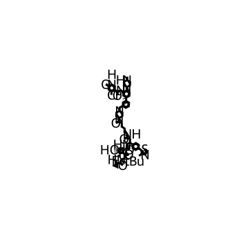 Cc1ncsc1-c1ccc(C(CC(=O)NCCCCC(=O)N2CCN(Cc3cccc(-c4ccc(N5CCN(C)CC5)c(NC(=O)c5c[nH]c(=O)cc5C(F)(F)F)c4)c3)CC2)NC(=O)[C@@H]2C[C@@H](O)CN2C(=O)C(NC(=O)C2(F)CC2)C(C)(C)C)cc1